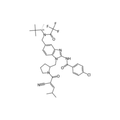 CC(C)C=C(C#N)C(=O)N1CCCC1Cn1c(NC(=O)c2ccc(Cl)cc2)nc2cc(CN(C(=O)C(F)(F)F)[C@@H](C)C(C)(C)C)ccc21